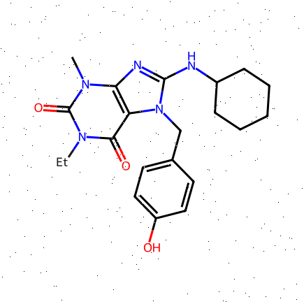 CCn1c(=O)c2c(nc(NC3CCCCC3)n2Cc2ccc(O)cc2)n(C)c1=O